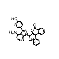 CC(c1oc(=O)c2ccccc2c1-c1ccccc1)n1nc(-c2ccc(O)nc2)c2c(N)ncnc21